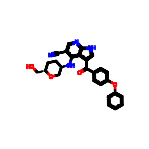 N#Cc1cnc2[nH]cc(C(=O)c3ccc(Oc4ccccc4)cc3)c2c1N[C@@H]1CC[C@@H](CO)OC1